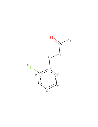 CC(=O)CCc1ccccc1F